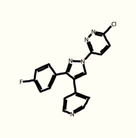 Fc1ccc(-c2nn(-c3ccc(Cl)nn3)cc2-c2ccncc2)cc1